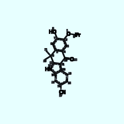 CC(C)Oc1cc2c(cc1O)C(C)(C)c1[nH]c3cc(C#N)ccc3c1C2=O